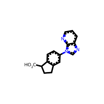 O=C(O)C1CCc2cc(-n3cnc4cccnc43)ccc21